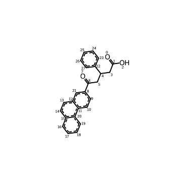 O=C(O)CC(CC(=O)c1ccc2c(ccc3ccccc32)c1)c1ccccc1